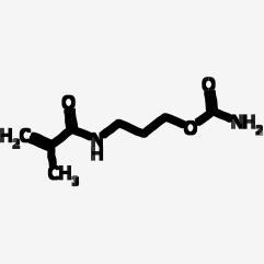 C=C(C)C(=O)NCCCOC(N)=O